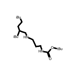 CCC(C)CCC(CNCCCNC(=O)OC(C)(C)C)C(C)CC